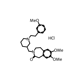 COc1cccc(CCN2CCCC(CN3CCc4cc(OC)c(OC)cc4CC3=O)C2)c1.Cl